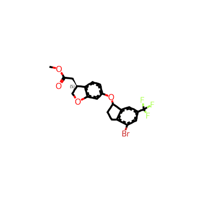 COC(=O)C[C@@H]1COc2cc(OC3CCc4c(Br)cc(C(F)(F)F)cc43)ccc21